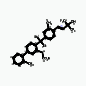 CCC(CC)(c1ccc(/C=C/C(O)(C(F)(F)F)C(F)(F)F)c(C)c1)c1ccc(-c2ccccc2C)cc1CC(=O)O